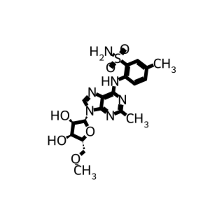 COC[C@H]1O[C@@H](n2cnc3c(Nc4ccc(C)cc4S(N)(=O)=O)nc(C)nc32)[C@H](O)[C@@H]1O